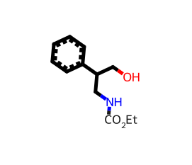 CCOC(=O)NCC(CO)c1ccccc1